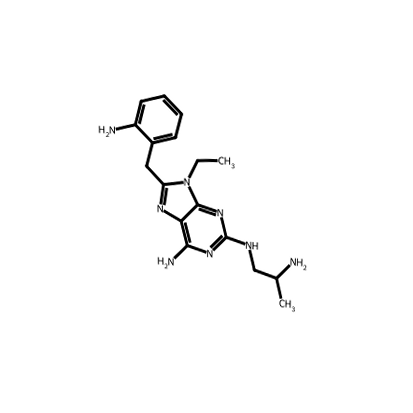 CCn1c(Cc2ccccc2N)nc2c(N)nc(NCC(C)N)nc21